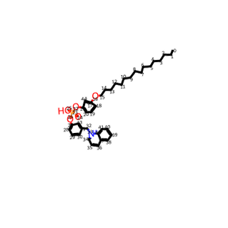 CCCCCCCCCCCCCCCCOc1cccc(OP(=O)(O)Oc2cccc(C[n+]3cccc4ccccc43)c2)c1